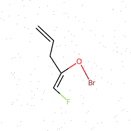 C=CCC(=CF)OBr